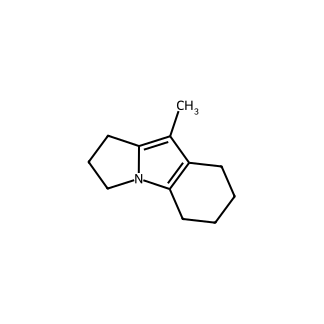 Cc1c2c(n3c1CCC3)CCCC2